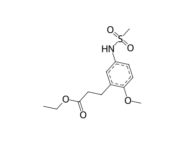 CCOC(=O)CCc1cc(NS(C)(=O)=O)ccc1OC